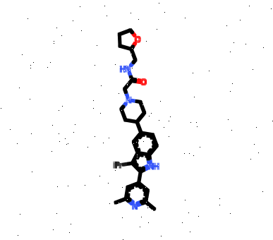 Cc1cc(-c2[nH]c3ccc(C4CCN(CC(=O)NCC5CCCO5)CC4)cc3c2C(C)C)cc(C)n1